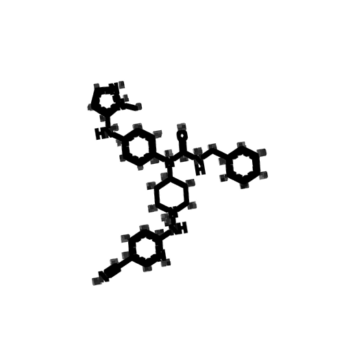 Cn1nccc1Nc1ccc(N(C(=O)NCc2ccccc2)C2CCN(Nc3ccc(C#N)cn3)CC2)cc1